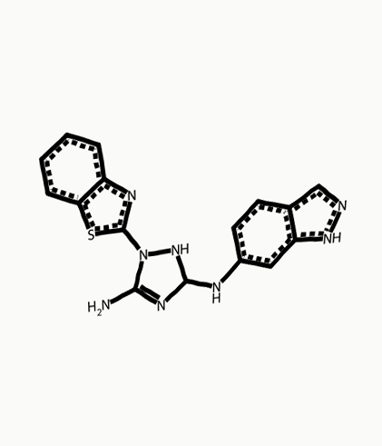 NC1=NC(Nc2ccc3cn[nH]c3c2)NN1c1nc2ccccc2s1